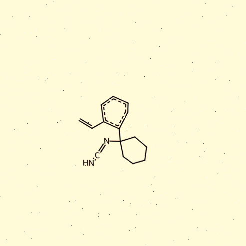 C=Cc1ccccc1C1(N=C=N)CCCCC1